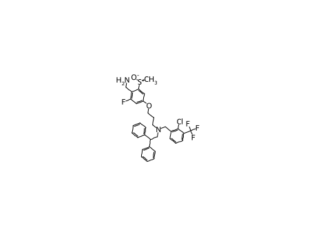 C[S+]([O-])c1cc(OCCCN(Cc2cccc(C(F)(F)F)c2Cl)CC(c2ccccc2)c2ccccc2)cc(F)c1CN